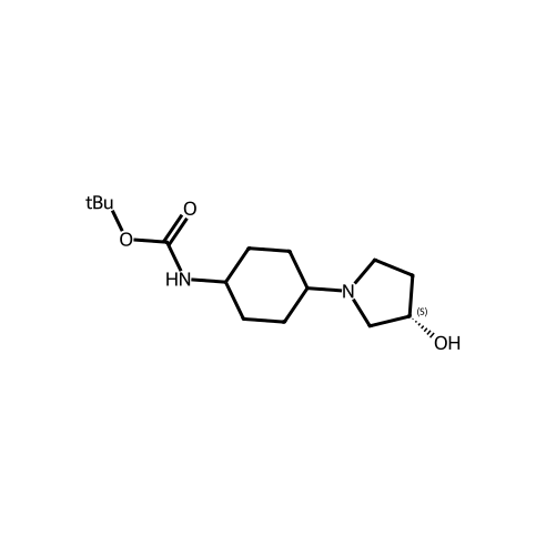 CC(C)(C)OC(=O)NC1CCC(N2CC[C@H](O)C2)CC1